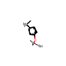 C[SiH](C)c1ccc(O[Si](C)(C)C(C)(C)C)cc1